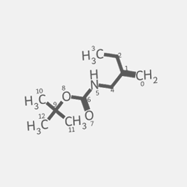 C=C(CC)CNC(=O)OC(C)(C)C